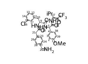 COc1ccc(C(NC(=O)C(Cc2cccc(Cl)c2)NC(=O)Cc2ccc(CN)cc2)C(=O)NC(C(=O)C(F)(F)F)C(C)C)cc1